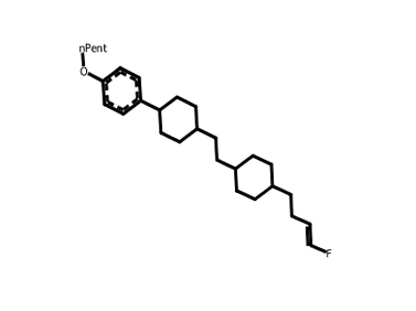 CCCCCOc1ccc(C2CCC(CCC3CCC(CC/C=C/F)CC3)CC2)cc1